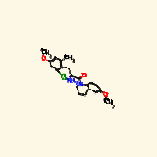 COc1cc(C)c(C[C@H](N)C(=O)N2CCCc3cc(OC)ccc32)c(Cl)c1